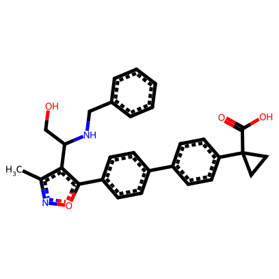 Cc1noc(-c2ccc(-c3ccc(C4(C(=O)O)CC4)cc3)cc2)c1C(CO)NCc1ccccc1